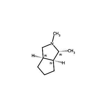 C[C@@H]1[C@H]2CCC[C@H]2CN1C